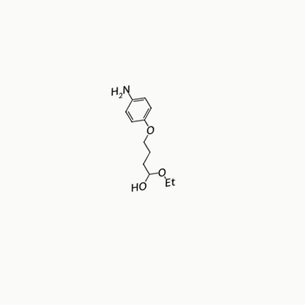 CCOC(O)CCCOc1ccc(N)cc1